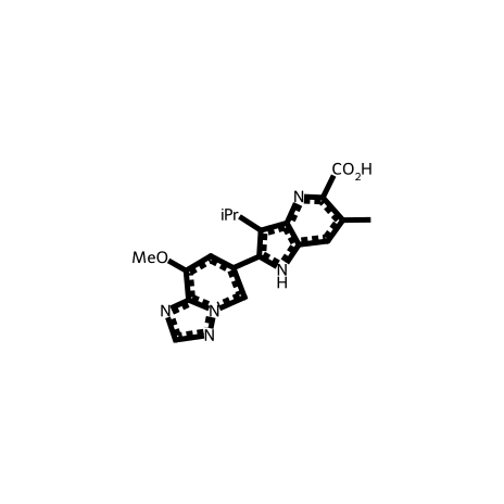 COc1cc(-c2[nH]c3cc(C)c(C(=O)O)nc3c2C(C)C)cn2ncnc12